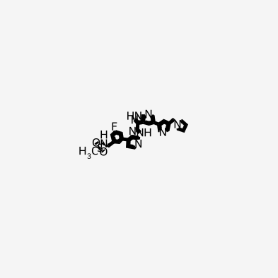 CS(=O)(=O)NCc1cc(F)cc(-c2ccnc3[nH]c(-c4n[nH]c5ncc(-c6cncc(CN7CCCC7)c6)cc45)nc23)c1